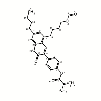 C=C(C)C(=O)Oc1ccc(-c2cc3c(CCCCOC=O)cc(CCCC)cc3oc2=O)cc1